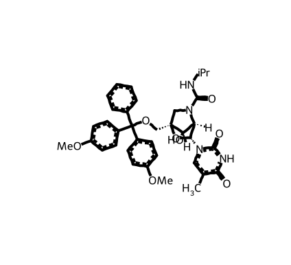 COc1ccc(C(OC[C@@]23CN(C(=O)NC(C)C)[C@@H]([C@H](n4cc(C)c(=O)[nH]c4=O)O2)[C@@H]3O)(c2ccccc2)c2ccc(OC)cc2)cc1